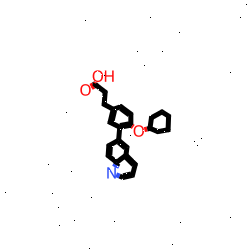 O=C(O)CCc1ccc(OC2CCCCC2)c(-c2ccc3ncccc3c2)c1